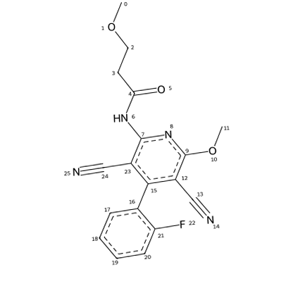 COCCC(=O)Nc1nc(OC)c(C#N)c(-c2ccccc2F)c1C#N